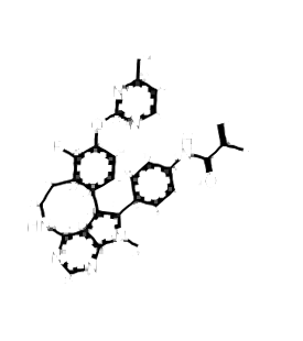 C=C(C)C(=O)Nc1ccc(-c2c3c4c(ncnc4n2C)NCCc2c-3ccc(Oc3nccc(C)n3)c2F)cc1